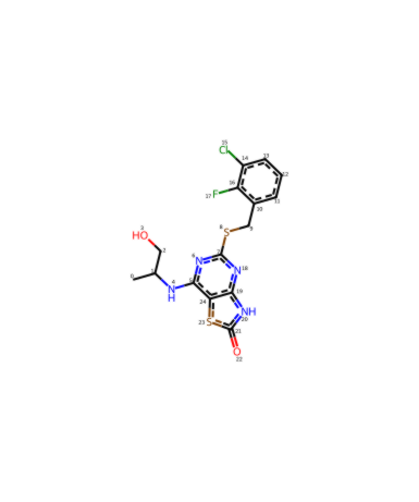 CC(CO)Nc1nc(SCc2cccc(Cl)c2F)nc2[nH]c(=O)sc12